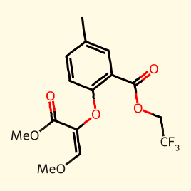 COC=C(Oc1ccc(C)cc1C(=O)OCC(F)(F)F)C(=O)OC